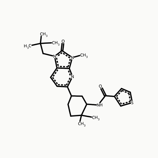 Cn1c(=O)n(CC(C)(C)C)c2ccc(C3CCC(C)(C)C(NC(=O)c4ccsc4)C3)nc21